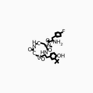 CN1CCC(=O)NCCCC[C@H](N(C)C(=O)[C@@H](N)Cc2ccc(F)cc2)C(=O)NC(Cc2ccc(O)c(C(C)(C)C)c2)C1=O